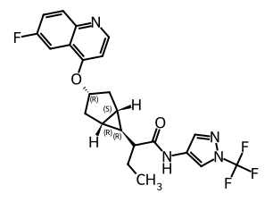 CCC(C(=O)Nc1cnn(C(F)(F)F)c1)[C@H]1[C@@H]2C[C@H](Oc3ccnc4ccc(F)cc34)C[C@@H]21